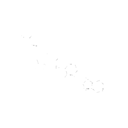 COC(=O)N[C@@H](CC/C=C/C(=O)N(C)C)C(=O)Nc1cccn(Cc2nc3cc(F)ccc3[nH]2)c1=O